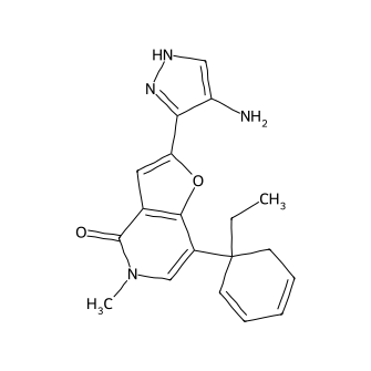 CCC1(c2cn(C)c(=O)c3cc(-c4n[nH]cc4N)oc23)C=CC=CC1